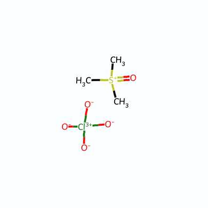 C[S+](C)(C)=O.[O-][Cl+3]([O-])([O-])[O-]